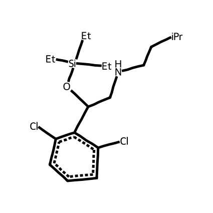 CC[Si](CC)(CC)OC(CNCCC(C)C)c1c(Cl)cccc1Cl